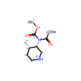 COC(=O)N(C(=O)OC(C)(C)C)[C@@H]1CNCC[C@@H]1C